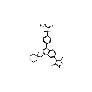 Cc1noc(C)c1-c1cnc2c(-c3ccc(C(C)(C)C(N)=O)cc3)cn(CC3(C)CCOCC3)c2c1